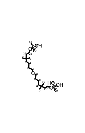 CC(C)(CCCCOCCCCC(C)(C)CCOP(=O)(O)O)CCOP(C)(=O)O